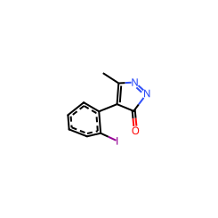 CC1=C(c2ccccc2I)C(=O)N=N1